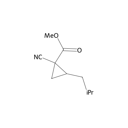 COC(=O)C1(C#N)CC1CC(C)C